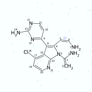 C=C(N)n1c(/C=C\N)c(-c2ccnc(N)n2)c2c(Cl)ccnc21